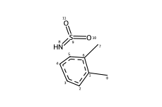 Cc1ccccc1C.N=S(=O)=O